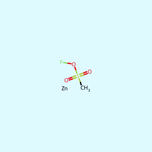 CS(=O)(=O)OF.[Zn]